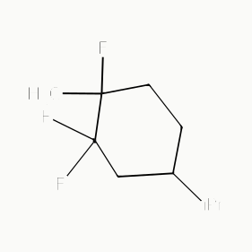 CC(C)C1[CH]C(F)(F)C(C)(F)CC1